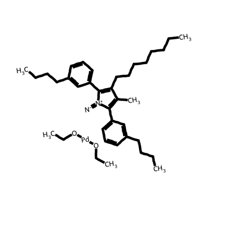 CCCCCCCCC1=C(c2cccc(CCCC)c2)[N+](=[N-])C(c2cccc(CCCC)c2)=C1C.CC[O][Pd][O]CC